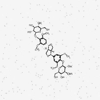 COc1cc([C@H]2OC[C@@H]3[C@@H]2CO[C@H]3c2cc(OC)c(O[C@@H]3O[C@H](CO)[C@@H](O)[C@H](O)[C@H]3O)c(OC)c2)cc(OC)c1O[C@@H]1O[C@H](CO)[C@@H](O)[C@H](O)[C@H]1O